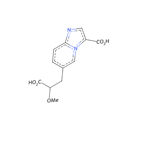 COC(Cc1ccc2ncc(C(=O)O)n2c1)C(=O)O